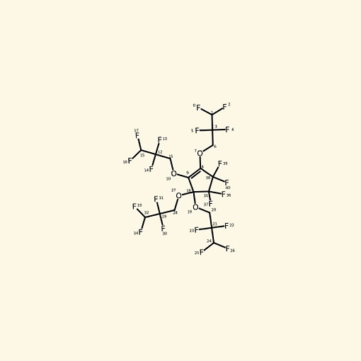 FC(F)C(F)(F)COC1=C(OCC(F)(F)C(F)F)C(OCC(F)(F)C(F)F)(OCC(F)(F)C(F)F)C(F)(F)C1(F)F